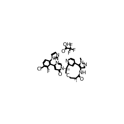 C[C@@H]1CCC[C@H](n2cnc(-c3c(-n4ccnn4)ccc(Cl)c3F)cc2=O)c2cc(ccn2)-c2c(cnn2C)NC1=O.O=C(O)C(F)(F)F